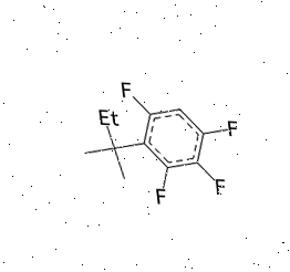 CCC(C)(C)c1c(F)cc(F)c(F)c1F